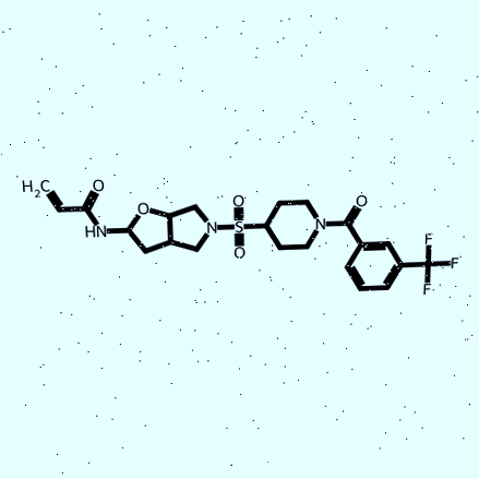 C=CC(=O)NC1CC2CN(S(=O)(=O)C3CCN(C(=O)c4cccc(C(F)(F)F)c4)CC3)CC2O1